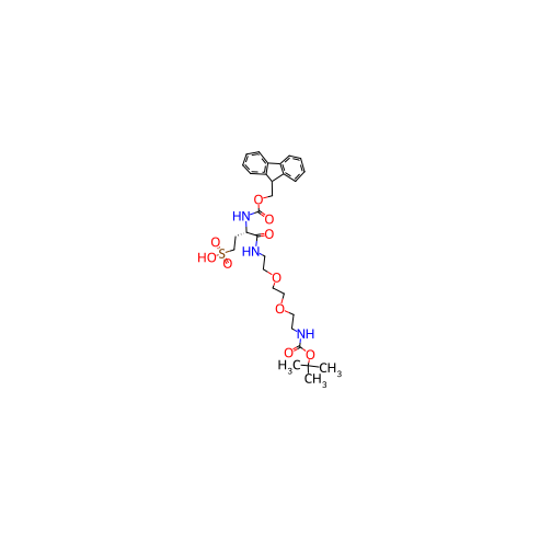 CC(C)(C)OC(=O)NCCOCCOCCNC(=O)[C@H](CCS(=O)(=O)O)NC(=O)OCC1c2ccccc2-c2ccccc21